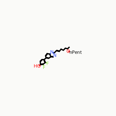 CCCCCOC(C)CCCC=Cc1ncc2cc(-c3ccc(O)c(F)c3F)ccc2n1